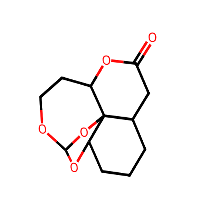 O=C1CC2CCCC3OC4OCCC(O1)C23O4